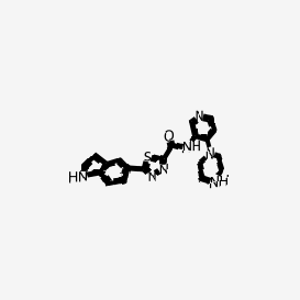 O=C(Nc1cnccc1N1CCNCC1)c1nnc(-c2ccc3[nH]ccc3c2)s1